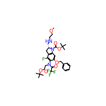 COCCNC[C@H]1Cc2c(cc(OCc3ccccc3)c(N(CC(=O)OC(C)(C)C)C(=O)C(F)(F)F)c2F)N1C(=O)OC(C)(C)C